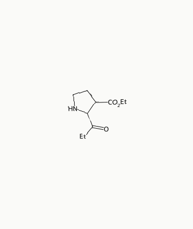 CCOC(=O)C1CCNC1C(=O)CC